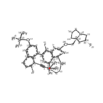 CC(C)[Si](C#Cc1c(F)ccc2cc(O[Si](C(C)C)(C(C)C)C(C)C)cc(-c3nc4c5c(nc(OC[C@@]67CCCN6C[C@H](F)C7)nc5c3F)NCCO4)c12)(C(C)C)C(C)C